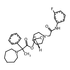 CC(C(=O)O[C@H]1C[N+]2(CC(=O)Nc3cccc(F)c3)CCC1CC2)(c1ccccc1)N1CCCCCC1